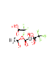 CC(=O)OC(C)=O.O=C(O)C(F)(F)F.O=C(O)C(F)(F)F